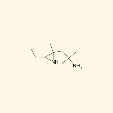 CCC1NC1(C)CC(C)(C)N